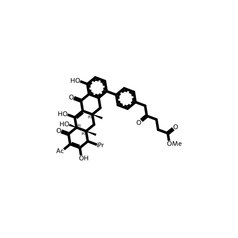 COC(=O)CCC(=O)Cc1ccc(-c2ccc(O)c3c2C[C@]2(C)C[C@]4(C)C(C(C)C)C(O)=C(C(C)=O)C(=O)[C@]4(O)C(O)=C2C3=O)cc1